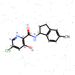 N#Cc1ccc2c(c1)CCC2NC(=O)c1ncc(Cl)cc1Br